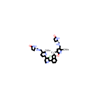 COc1nc(-c2ccnc(-c3cccc4c3CC[C@@H]4Oc3nc(OC)c(CNC[C@@H]4CCC(=O)N4)cc3C(F)(F)F)c2Cl)ccc1CNC[C@@H]1CCC(=O)N1